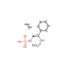 CCOC(=O)N[C@@H](COP(=O)([O-])[O-])c1ccccc1.[Na+].[Na+]